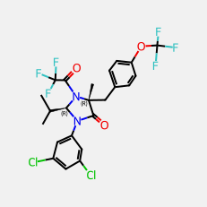 CC(C)[C@@H]1N(c2cc(Cl)cc(Cl)c2)C(=O)[C@@](C)(Cc2ccc(OC(F)(F)F)cc2)N1C(=O)C(F)(F)F